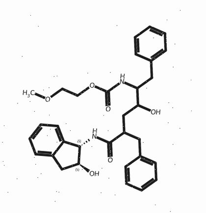 COCCOC(=O)NC(Cc1ccccc1)C(O)CC(Cc1ccccc1)C(=O)N[C@H]1c2ccccc2C[C@@H]1O